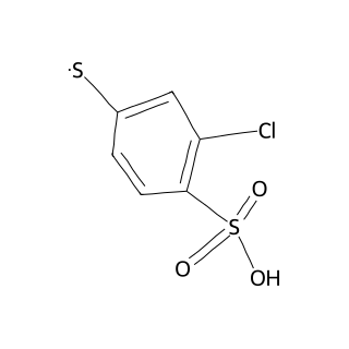 O=S(=O)(O)c1ccc([S])cc1Cl